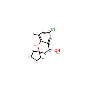 Cc1cc(Cl)cc2c1OC1(CCCC1)CC2O